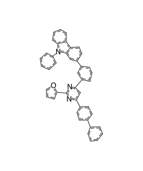 c1ccc(-c2ccc(-c3cc(-c4cccc(-c5ccc6c7ccccc7n(-c7ccccc7)c6c5)c4)nc(-c4ccco4)n3)cc2)cc1